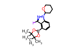 CC1(C)OB(c2cccc3c2c(I)nn3C2CCCCO2)OC1(C)C